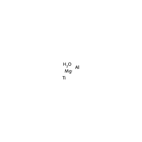 O.[Al].[Mg].[Ti]